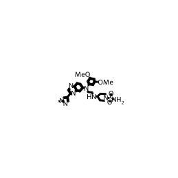 COc1cc(OC)cc(N(CCNC2CCN(S(N)(=O)=O)CC2)c2ccc3ncc(-c4cnn(C)c4)nc3c2)c1